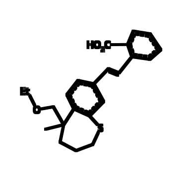 CCOCC1(C)CCCSc2cc(C=Cc3ccccc3C(=O)O)ccc21